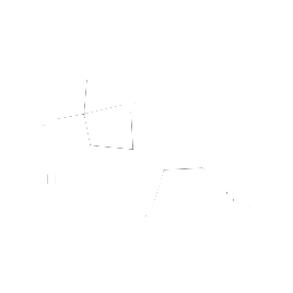 CCC1(C)OC(C(C)CN)C1O